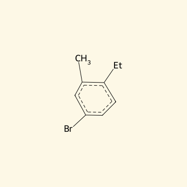 CCc1ccc(Br)cc1C